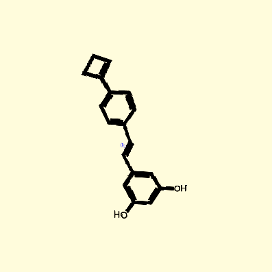 Oc1cc(O)cc(/C=C/c2ccc(C3=CCC3)cc2)c1